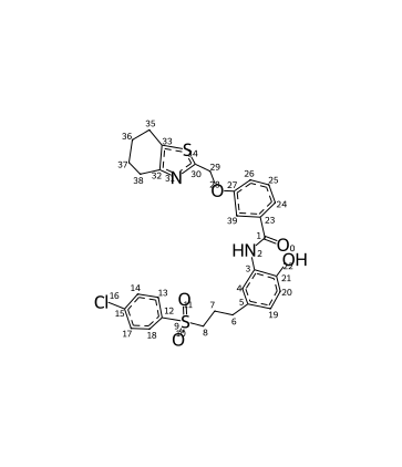 O=C(Nc1cc(CCCS(=O)(=O)c2ccc(Cl)cc2)ccc1O)c1cccc(OCc2nc3c(s2)CCCC3)c1